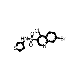 O=S(=O)(Nc1ccsc1)c1cnc2cc(Br)ccc2c1Cl